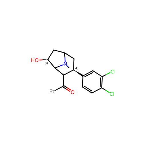 CCC(=O)C1C2[C@H](O)CC(C[C@H]1c1ccc(Cl)c(Cl)c1)N2C